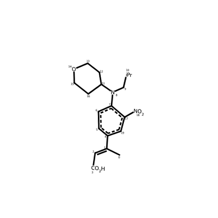 C/C(=C\C(=O)O)c1ccc(N(CC(C)C)C2CCOCC2)c([N+](=O)[O-])c1